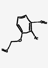 COCOc1cccc(OC)c1C(C)=O